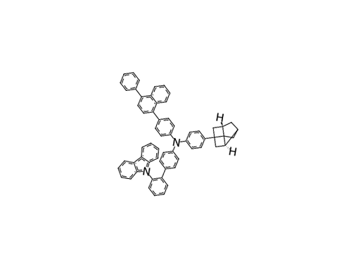 c1ccc(-c2ccc(-c3ccc(N(c4ccc(-c5ccccc5-n5c6ccccc6c6ccccc65)cc4)c4ccc(C56C[C@@H]7CC8CC75[C@@H]8C6)cc4)cc3)c3ccccc23)cc1